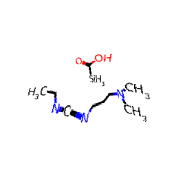 CCN=C=NCCCN(C)C.O=C(O)[SiH3]